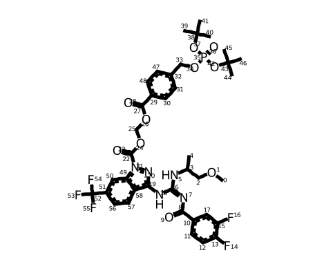 COCC(C)N/C(=N/C(=O)c1ccc(F)c(F)c1)Nc1nn(C(=O)OCOC(=O)c2ccc(COP(=O)(OC(C)(C)C)OC(C)(C)C)cc2)c2cc(C(F)(F)F)ccc12